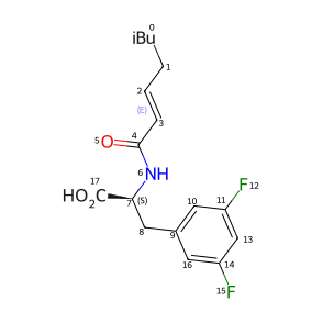 CCC(C)C/C=C/C(=O)N[C@@H](Cc1cc(F)cc(F)c1)C(=O)O